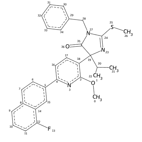 COc1nc(-c2ccc3cccc(F)c3c2)ccc1C1(C(C)C)N=C(SC)N(Cc2ccccc2)C1=O